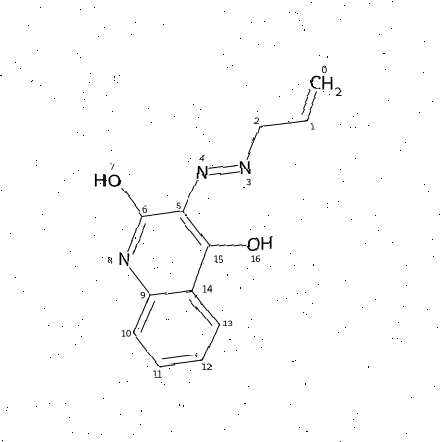 C=CCN=Nc1c(O)nc2ccccc2c1O